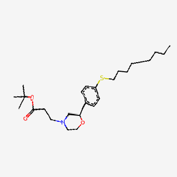 CCCCCCCCSc1ccc(C2CN(CCC(=O)OC(C)(C)C)CCO2)cc1